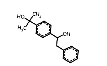 CC(C)(O)c1ccc(C(O)Cc2cc[c]cc2)cc1